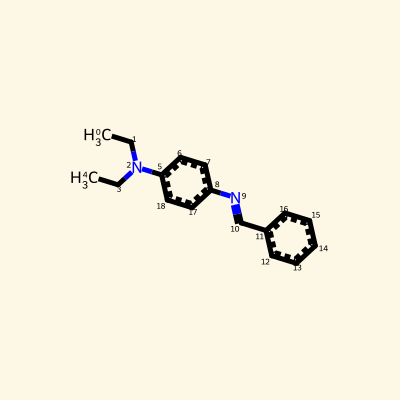 CCN(CC)c1ccc(/N=C/c2ccccc2)cc1